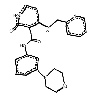 O=C(Nc1cccc(N2CCOCC2)c1)c1c(NCc2ccccn2)cc[nH]c1=O